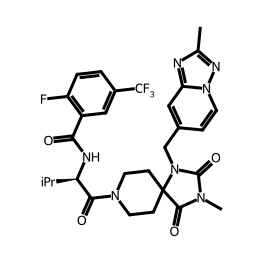 Cc1nc2cc(CN3C(=O)N(C)C(=O)C34CCN(C(=O)[C@H](NC(=O)c3cc(C(F)(F)F)ccc3F)C(C)C)CC4)ccn2n1